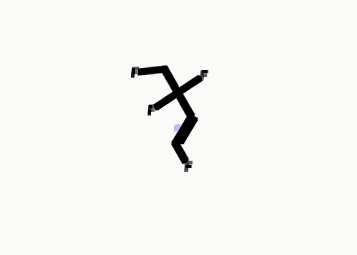 F/C=C/C(F)(F)CF